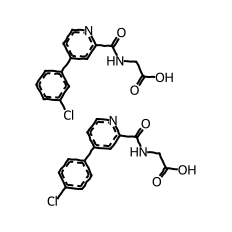 O=C(O)CNC(=O)c1cc(-c2ccc(Cl)cc2)ccn1.O=C(O)CNC(=O)c1cc(-c2cccc(Cl)c2)ccn1